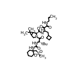 C=CCNC(=O)C(=O)C(CC1CCC1)NC(=O)[C@@H]1C2C(CN1C(=O)[C@@H](NC(=O)NC1(CS(C)(=O)=O)CCCCC1)C(C)(C)C)C2(C)C